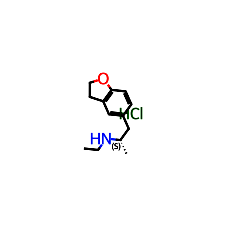 CCN[C@@H](C)Cc1ccc2c(c1)CCO2.Cl